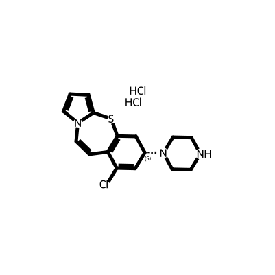 Cl.Cl.ClC1=C[C@@H](N2CCNCC2)CC2=C1C=Cn1cccc1S2